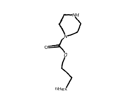 CCCCCCCCOC(=O)N1CCNCC1